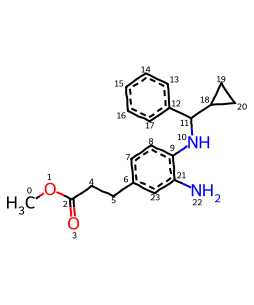 COC(=O)CCc1ccc(NC(c2ccccc2)C2CC2)c(N)c1